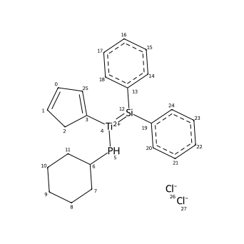 C1=CC[C]([Ti+2]([PH]C2CCCCC2)=[Si](c2ccccc2)c2ccccc2)=C1.[Cl-].[Cl-]